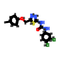 Cc1ccc(OCc2nnc(NC(=O)Nc3ccc(Cl)c(Cl)c3)s2)cc1